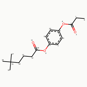 CCC(=O)Oc1ccc(OC(=O)CCCC(C)(C)C)cc1